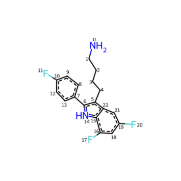 NCCCCc1c(-c2ccc(F)cc2)[nH]c2c(F)cc(F)cc12